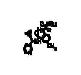 CCCCS(=O)(=O)Nc1ccc(C)cc1C(=O)NC(c1cccnc1)C1CC1